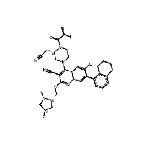 C=C(F)C(=O)N1CCN(C2=C(C#N)C(OC[C@@H]3C[C@@H](F)CN3C)=NC3C=C(c4cccc5c4CCCC5)C(Cl)=CC23)C[C@@H]1CC#N